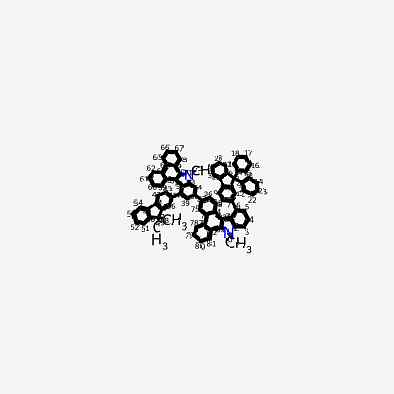 Cn1c2cccc(-c3ccc4c(c3)C(c3ccccc3)(c3ccccc3)c3ccccc3-4)c2c2c3ccc(-c4cc(-c5ccc6c(c5)C(C)(C)c5ccccc5-6)c5c6c7ccccc7c7ccccc7c6n(C)c5c4)cc3c3ccccc3c21